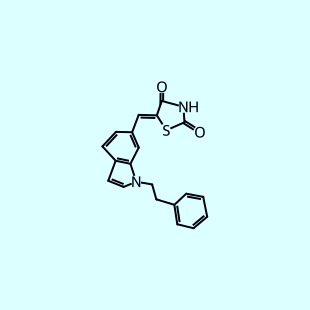 O=C1NC(=O)C(=Cc2ccc3ccn(CCc4ccccc4)c3c2)S1